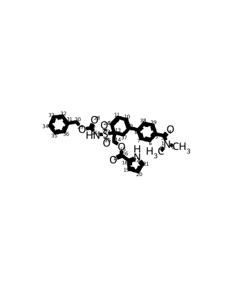 CN(C)C(=O)c1ccc(C2=CC=CC(COC(=O)c3ccc[nH]3)(S(=O)(=O)NC(=O)OCc3ccccc3)C2)cc1